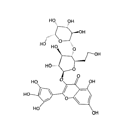 O=c1c(O[C@@H]2O[C@H](CCO)[C@@H](O[C@@H]3O[C@H](CO)[C@H](O)[C@H](O)[C@H]3O)[C@H](O)[C@H]2O)c(-c2cc(O)c(O)c(O)c2)oc2cc(O)cc(O)c12